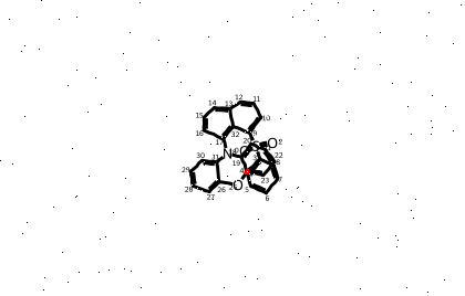 O=S(=O)(c1ccccc1)c1cccc2cccc(N3c4ccccc4Oc4ccccc43)c12